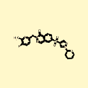 Cc1nc(Cn2ncc3cc(S(=O)(=O)c4cnn(C5CCCCO5)c4)ccc3c2=O)ccc1F